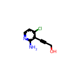 Nc1nccc(Cl)c1C#CCO